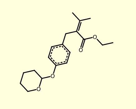 CCOC(=O)C(Cc1ccc(OC2CCCCO2)cc1)=C(C)C